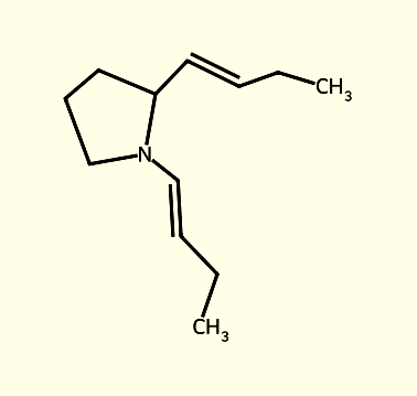 CCC=CC1CCCN1C=CCC